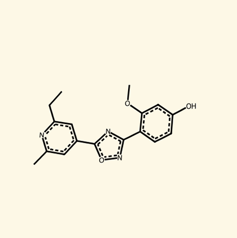 CCc1cc(-c2nc(-c3ccc(O)cc3OC)no2)cc(C)n1